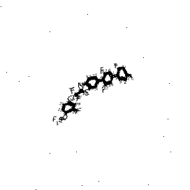 Cc1ccc(-c2cc(F)c(-c3ccc4nc(C(F)(F)Oc5ccc(OC(F)(F)F)c(F)c5)sc4c3)c(F)c2)c(F)c1